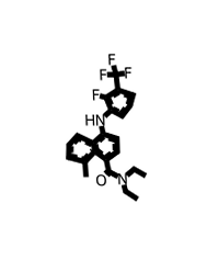 CCN(CC)C(=O)c1ccc(Nc2cccc(C(F)(F)F)c2F)c2cccc(C)c12